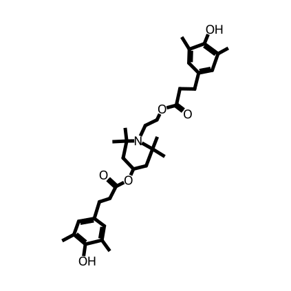 Cc1cc(CCC(=O)OCCN2C(C)(C)CC(OC(=O)CCc3cc(C)c(O)c(C)c3)CC2(C)C)cc(C)c1O